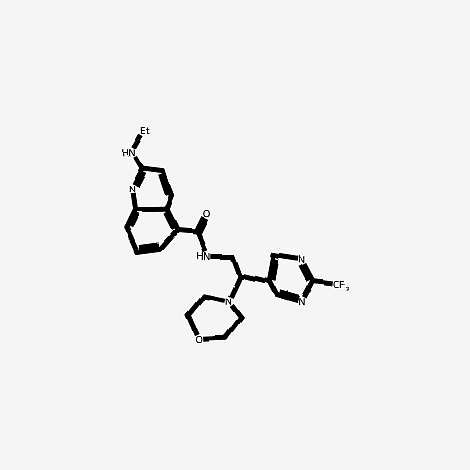 CCNc1ccc2c(C(=O)NCC(c3cnc(C(F)(F)F)nc3)N3CCOCC3)cccc2n1